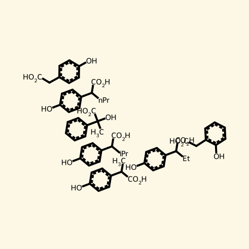 CC(C(=O)O)c1ccc(O)cc1.CC(C)C(C(=O)O)c1ccc(O)cc1.CC(O)(C(=O)O)c1ccccc1.CCC(C(=O)O)c1ccc(O)cc1.CCCC(C(=O)O)c1ccc(O)cc1.O=C(O)Cc1ccc(O)cc1.O=C(O)Cc1ccccc1O